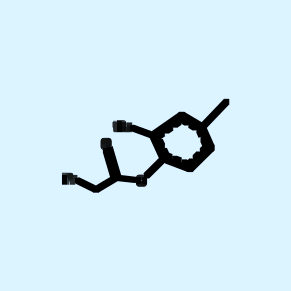 Cc1ccc(OC(=O)CC(C)C)c(C(C)(C)C)c1